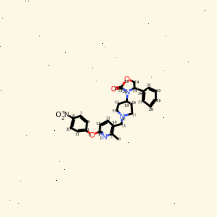 Cc1nc(Oc2ccc([N+](=O)[O-])cc2)ccc1CN1CCC(N2C(=O)OCC2c2ccccc2)CC1